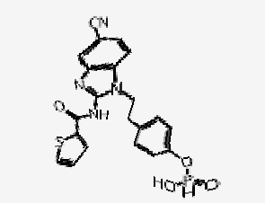 N#Cc1ccc2c(c1)nc(NC(=O)c1cccs1)n2CCc1ccc(O[PH](=O)O)cc1